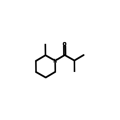 CC(C)C(=O)N1CCCCC1C